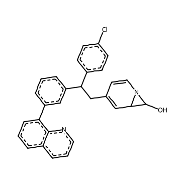 OC1C2C=C(CC(c3ccc(Cl)cc3)c3cccc(-c4cccc5cccnc45)c3)C=CN12